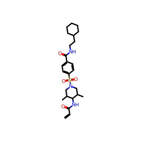 C=CC(=O)NC1C(C)CN(S(=O)(=O)c2ccc(C(=O)NCCC3CCCCC3)cc2)CC1C